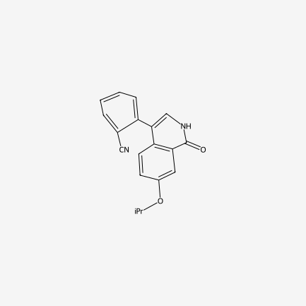 CC(C)Oc1ccc2c(-c3ccccc3C#N)c[nH]c(=O)c2c1